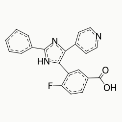 O=C(O)c1ccc(F)c(-c2[nH]c(-c3ccccc3)nc2-c2ccncc2)c1